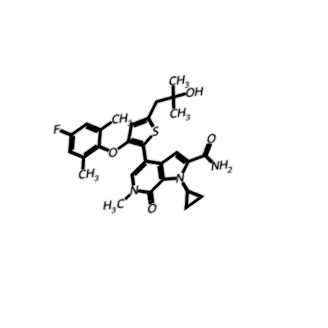 Cc1cc(F)cc(C)c1Oc1cc(CC(C)(C)O)sc1-c1cn(C)c(=O)c2c1cc(C(N)=O)n2C1CC1